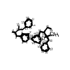 CC(Cc1ccccc1)C(C)Cc1ccccc1.CCC(Cc1ccccc1)C(O)(O)Cc1ccccc1